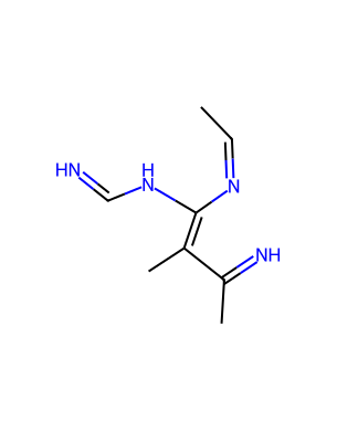 C/C=N\C(NC=N)=C(\C)C(C)=N